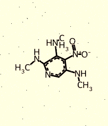 CNc1cnc(NC)c(NC)c1[N+](=O)[O-]